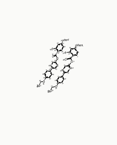 CCCCCCc1ccc(C(=O)Oc2cnc(-c3ccc(OCC(C)CC)cc3)cn2)c(F)c1.CCCCCc1ccc(C(=O)Oc2cnc(-c3ccc(OCC(C)CC)cc3)cn2)c(F)c1